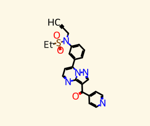 C#CCN(c1cccc(-c2ccnc3c(C(=O)c4ccncc4)cnn23)c1)S(=O)(=O)CC